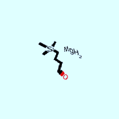 C[Si](C)(C)CCCC=O.[MgH2]